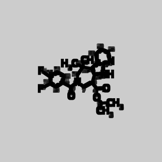 CC(C)OC(=O)C1=CN(C(=O)c2ccc(F)c(F)c2)CC(C)(C)c2c1[nH]c1ncccc21